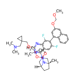 COCOc1cc(-c2c(F)cc3c(N4C[C@H]5CC[C@@](C)(C4)N5C(=O)OC(C)(C)C)nc(OCC4(CN(C)C)CC4)nc3c2F)c2ccccc2c1